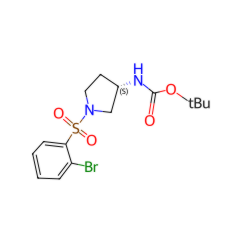 CC(C)(C)OC(=O)N[C@H]1CCN(S(=O)(=O)c2ccccc2Br)C1